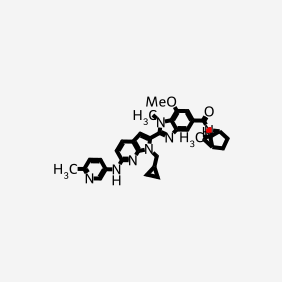 COc1cc(C(=O)N2CC3CCC2[C@@H]3C)cc2nc(-c3cc4ccc(Nc5ccc(C)nc5)nc4n3CC3CC3)n(C)c12